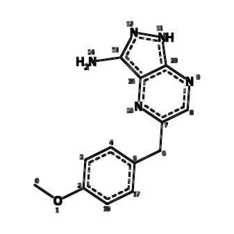 COc1ccc(Cc2cnc3[nH]nc(N)c3n2)cc1